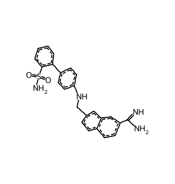 N=C(N)c1ccc2ccc(CNc3ccc(-c4ccccc4S(N)(=O)=O)cc3)cc2c1